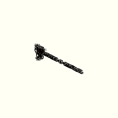 C=C=C=C=C=C=C=C=C=C=C=C=C=C=C=C=C=C=C=C=C=C=C=C=C=C=C=C=C=C=C=C=C=C=C=C(N(C(=O)C(=C)C)C1CC(=O)C(c2ccccc2C)C1=O)N(C(=O)C(=C)C)C1CC(=O)N(c2ccccc2C)C1=O